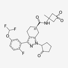 CC1(NC(=O)[C@@H]2CCc3c(-c4cc(OC(F)F)ccc4F)nn(C4CCCC4=O)c3C2)CS(=O)(=O)C1